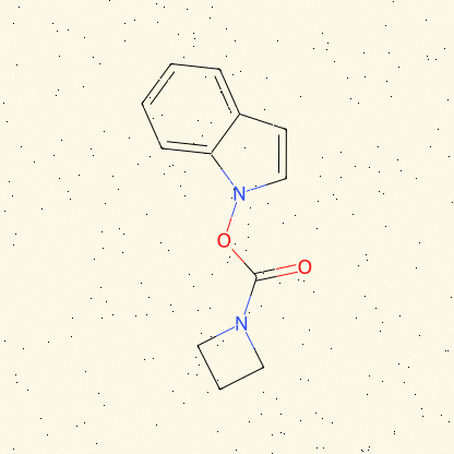 O=C(On1ccc2ccccc21)N1CCC1